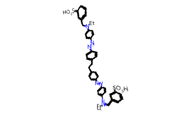 CCN(Cc1cccc(S(=O)(=O)O)c1)c1ccc(/N=N/c2ccc(CCc3ccc(/N=N/c4ccc(N(CC)Cc5cccc(S(=O)(=O)O)c5)cc4)cc3)cc2)cc1